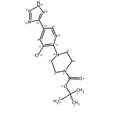 CC(C)(C)OC(=O)N1CCN(c2ncc(-c3nn[nH]n3)cc2Cl)CC1